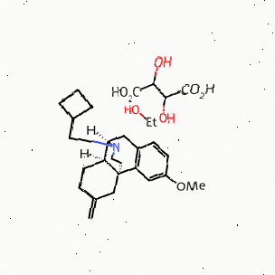 C=C1CC[C@H]2[C@H]3Cc4ccc(OC)cc4[C@@]2(CCN3CC2CCC2)C1.CCO.O=C(O)C(O)C(O)C(=O)O